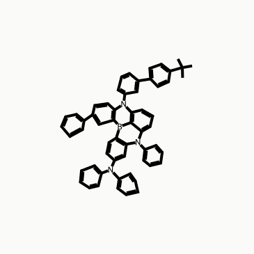 CC(C)(C)c1ccc(-c2cccc(N3c4ccc(-c5ccccc5)cc4B4c5ccc(N(c6ccccc6)c6ccccc6)cc5N(c5ccccc5)c5cccc3c54)c2)cc1